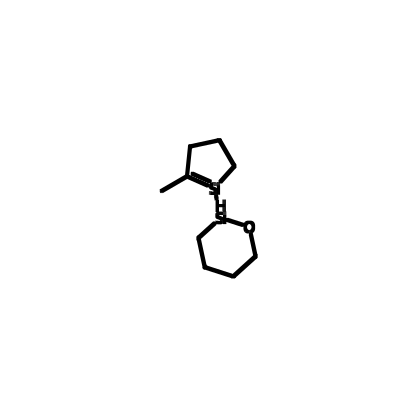 CC1=[Si]([SiH]2CCCCO2)CCC1